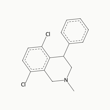 CN1Cc2c(Cl)ccc(Cl)c2C(c2ccccc2)C1